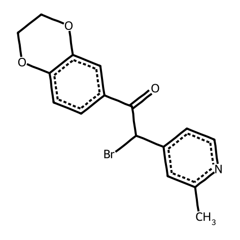 Cc1cc(C(Br)C(=O)c2ccc3c(c2)OCCO3)ccn1